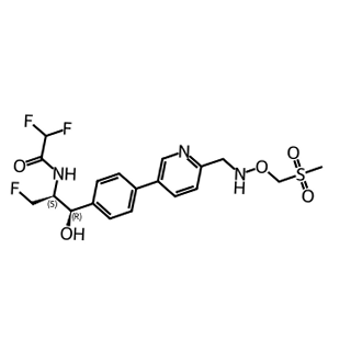 CS(=O)(=O)CONCc1ccc(-c2ccc([C@@H](O)[C@@H](CF)NC(=O)C(F)F)cc2)cn1